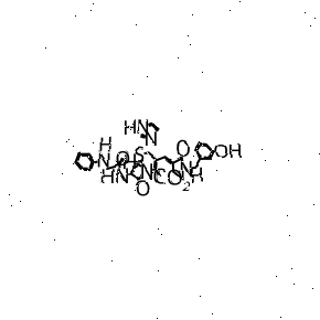 O=C(CNc1ccccc1)N[C@@H]1C(=O)N2C(C(=O)O)=C(C=C3CCN(Cc4cccc(O)c4)C3=O)CS[C@H]12.c1c[nH]cn1